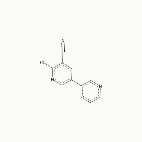 N#Cc1cc(-c2cccnc2)cnc1Cl